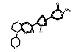 Cn1ccc(-c2ccc(-c3cc4c(nn3)N(C3CCOCC3)CCS4)c(O)c2)cc1=O